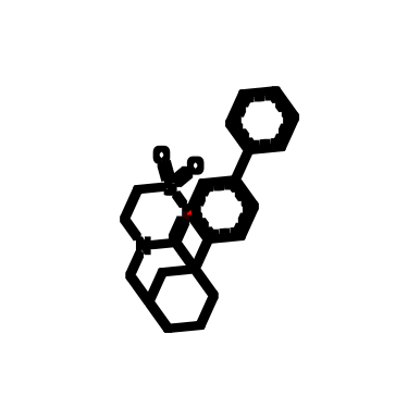 O=S1(=O)CCN2CC3CCCC(c4ccc(-c5ccccc5)cc4)(C3)C2=N1